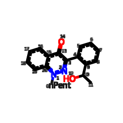 CCCCCn1nc(-c2ccccc2C(C)O)c(=O)c2ccccc21